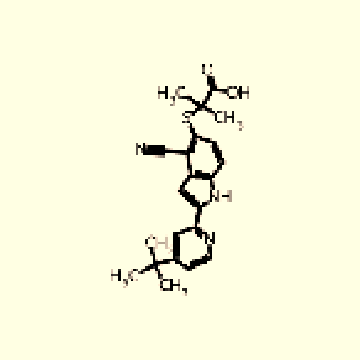 CC(C)(Sc1ccc2[nH]c(-c3cc(C(C)(C)C)ccn3)cc2c1C#N)C(=O)O